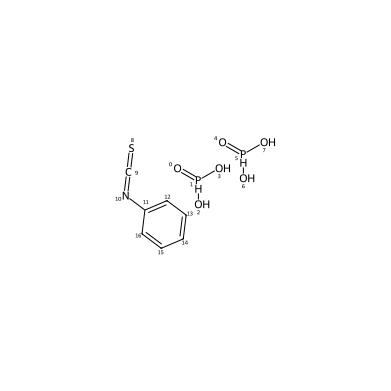 O=[PH](O)O.O=[PH](O)O.S=C=Nc1ccccc1